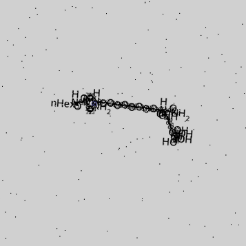 CCCCCCNC(=O)CCC(=O)N1Cc2ccccc2/C(N)=C(/NCCOCCOCCOCCOCCOCCOCCOCCOCCC(=O)NC(CCC(N)=O)C(=O)NCCCCCCO[C@H]2O[C@H](CO)[C@@H](O)[C@H](O)[C@@H]2O)c2ccccc21